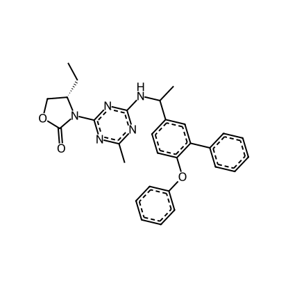 CC[C@H]1COC(=O)N1c1nc(C)nc(NC(C)c2ccc(Oc3ccccc3)c(-c3ccccc3)c2)n1